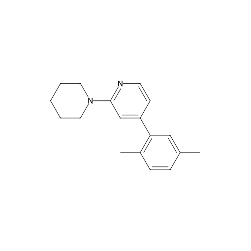 Cc1ccc(C)c(-c2ccnc(N3CCCCC3)c2)c1